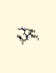 C/C=C(/C)C/C(=C\[C@H](C)C#N)C(=N)N